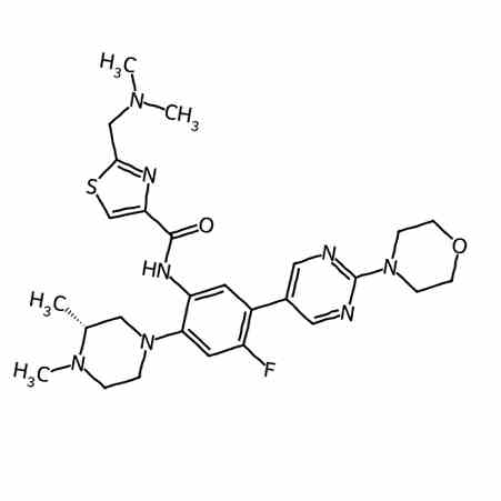 C[C@@H]1CN(c2cc(F)c(-c3cnc(N4CCOCC4)nc3)cc2NC(=O)c2csc(CN(C)C)n2)CCN1C